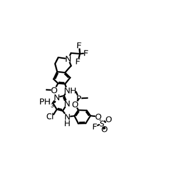 COc1cc2c(cc1Nc1ncc(Cl)c(Nc3ccc(OS(=O)(=O)F)cc3OP(C)C)n1)CN(CC(F)(F)F)CC2.P